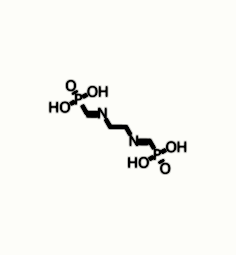 O=P(O)(O)C=NCCN=CP(=O)(O)O